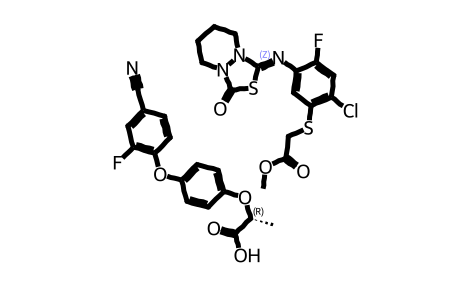 COC(=O)CSc1cc(/N=c2\sc(=O)n3n2CCCC3)c(F)cc1Cl.C[C@@H](Oc1ccc(Oc2ccc(C#N)cc2F)cc1)C(=O)O